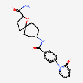 NC(=O)C1CCC2(C[CH]C(NC(=O)c3ccc(-n4ccccc4=O)cc3)CC2)O1